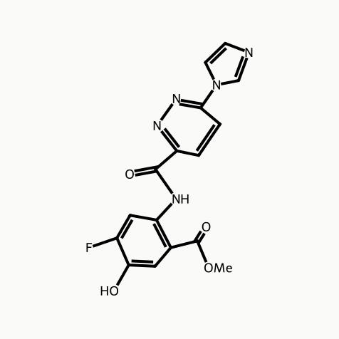 COC(=O)c1cc(O)c(F)cc1NC(=O)c1ccc(-n2ccnc2)nn1